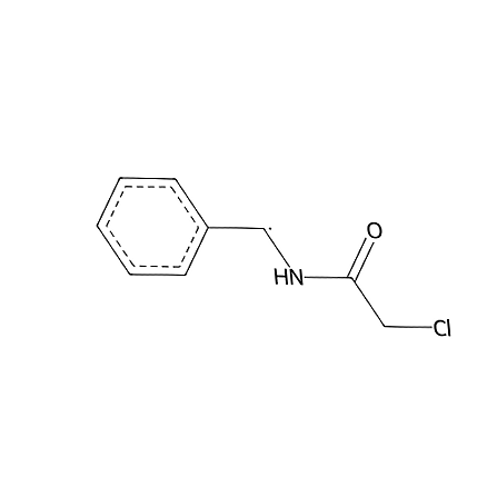 O=C(CCl)N[CH]c1ccccc1